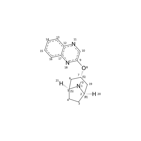 CN1[C@@H]2CC[C@H]1C[C@H](Oc1cnc3ccccc3n1)C2